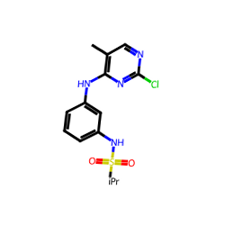 Cc1cnc(Cl)nc1Nc1cccc(NS(=O)(=O)C(C)C)c1